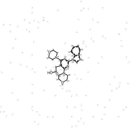 O=C(O)Cc1c(N2CCOCC2)nc(-n2cnc3ccccc32)nc1N1CCOCC1